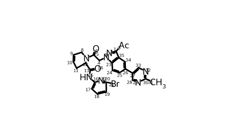 CC(=O)c1nn(CC(=O)N2CC=CCC2C(=O)Nc2cccc(Br)n2)c2ccc(-c3cnc(C)nc3)cc12